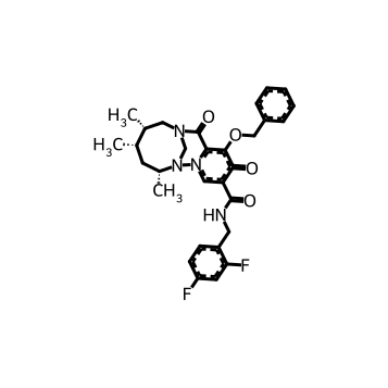 C[C@@H]1CN2CN([C@H](C)C[C@@H]1C)n1cc(C(=O)NCc3ccc(F)cc3F)c(=O)c(OCc3ccccc3)c1C2=O